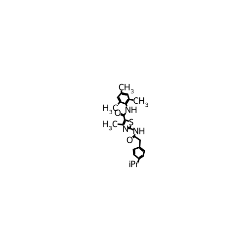 Cc1cc(C)c(NC(=O)c2sc(NC(=O)Cc3ccc(C(C)C)cc3)nc2C)c(C)c1